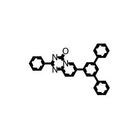 O=c1nc(-c2ccccc2)nc2ccc(-c3cc(-c4ccccc4)cc(-c4ccccc4)c3)cn12